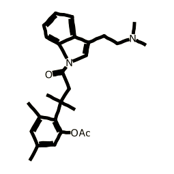 CC(=O)Oc1cc(C)cc(C)c1C(C)(C)CC(=O)n1cc(CCN(C)C)c2ccccc21